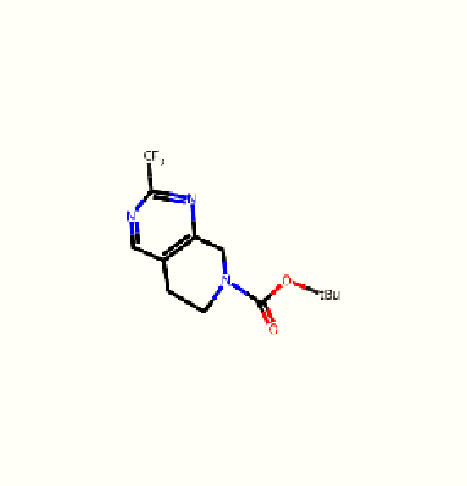 CC(C)(C)OC(=O)N1CCc2cnc(C(F)(F)F)nc2C1